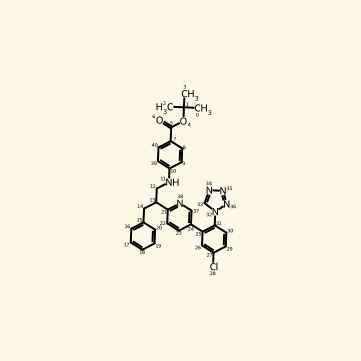 CC(C)(C)OC(=O)c1ccc(NCC(Cc2ccccc2)c2ccc(-c3cc(Cl)ccc3-n3cnnn3)cn2)cc1